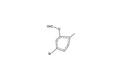 Cc1ccc(Br)cc1OC=O